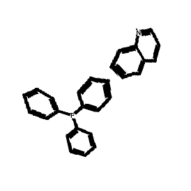 c1ccc(P(c2ccccc2)c2ccccc2)cc1.c1ccc2ncccc2c1